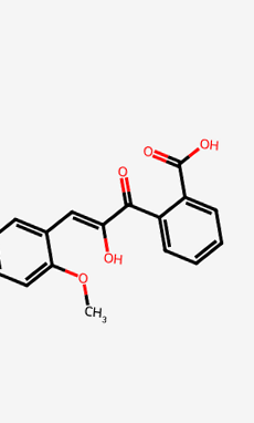 COc1ccccc1C=C(O)C(=O)c1ccccc1C(=O)O